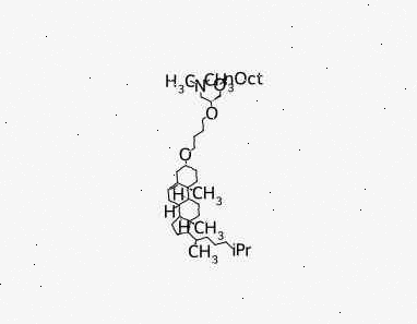 CCCCCCCCOC[C@H](CN(C)C)OCCCCOC1CC[C@@]2(C)C(=CC[C@H]3[C@@H]4CC[C@H]([C@H](C)CCCC(C)C)[C@@]4(C)CC[C@@H]32)C1